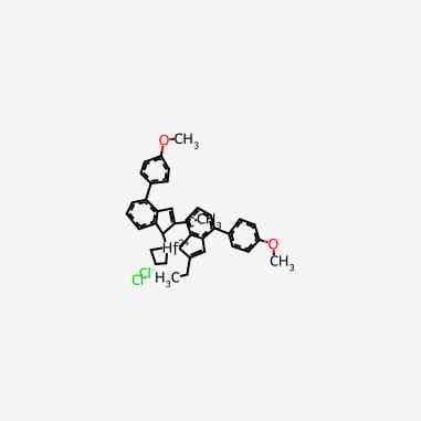 CCC1=Cc2c(-c3ccc(OC)cc3)cccc2[CH]1[Hf+2]1([CH]2C(CC)=Cc3c(-c4ccc(OC)cc4)cccc32)[CH2]C[CH2]1.[Cl-].[Cl-]